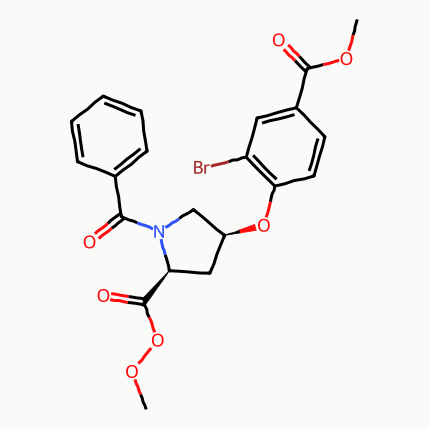 COOC(=O)[C@@H]1C[C@H](Oc2ccc(C(=O)OC)cc2Br)CN1C(=O)c1ccccc1